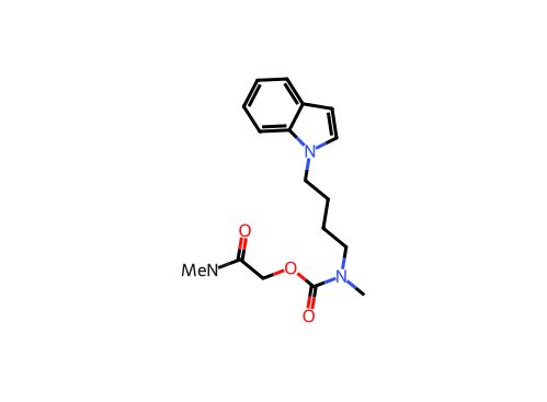 CNC(=O)COC(=O)N(C)CCCCn1ccc2ccccc21